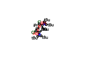 CC(C)c1cc(Cl)cc(-c2cc(C(C)(C)CC(C)(C)C)cc(-n3c4ccc(C(C)(C)C)cc4c4cc(C(C)(C)C)ccc43)c2O)c1OCCCOc1c(-c2cc(C(C)(C)CC(C)(C)C)cc(-n3c4ccc(C(C)(C)C)cc4c4cc(C(C)(C)C)ccc43)c2O)cc(Cl)cc1C(C)C